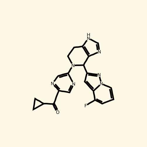 O=C(c1cnc(N2CCc3[nH]cnc3C2c2cc3c(F)cccn3n2)cn1)C1CC1